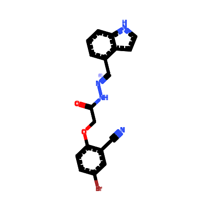 N#Cc1cc(Br)ccc1OCC(=O)N/N=C/c1cccc2[nH]ccc12